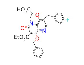 CCOC(=O)c1c(OCc2ccccc2)c2ncc(Cc3ccc(F)cc3)c3c2n(c1=O)C[C@@H](C(=O)O)O3